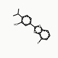 CC(C)c1ccc(-c2nc3c(F)cccc3o2)cc1O